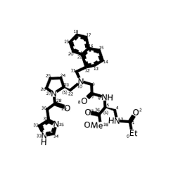 CCC(=O)NC[C@H](NC(=O)CN(Cc1cccc2ccccc12)C[C@@H]1CCCN1C(=O)Cc1c[nH]cn1)C(=O)OC